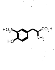 N[C@@H](Cc1ccc(O)c(S(=O)(=O)O)c1)C(=O)O